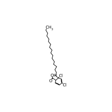 CCCCCCCCCCCCCCCCCCC1(Cl)C=C(Cl)C=CC1C(=O)O